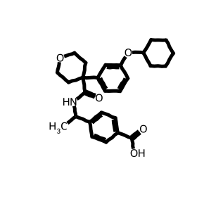 CC(NC(=O)C1(c2cccc(OC3CCCCC3)c2)CCOCC1)c1ccc(C(=O)O)cc1